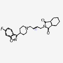 O=C1C2CCCCC2C(=O)N1C/C=C/CN1CCC(c2noc3cc(F)ccc23)CC1